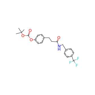 CC(C)(C)OC(=O)Oc1ccc(CCC(=O)NCc2ccc(C(F)(F)F)cc2)cc1